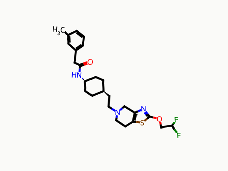 Cc1cccc(CC(=O)N[C@H]2CC[C@H](CCN3CCc4sc(OCC(F)F)nc4C3)CC2)c1